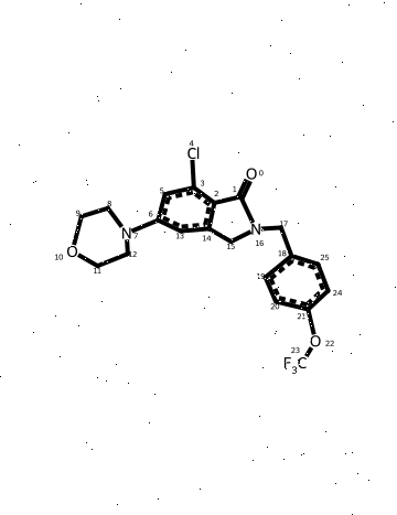 O=C1c2c(Cl)cc(N3CCOCC3)cc2CN1Cc1ccc(OC(F)(F)F)cc1